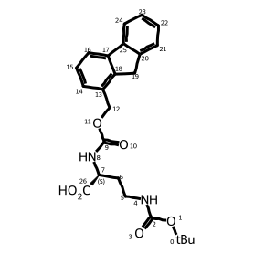 CC(C)(C)OC(=O)NCC[C@H](NC(=O)OCc1cccc2c1Cc1ccccc1-2)C(=O)O